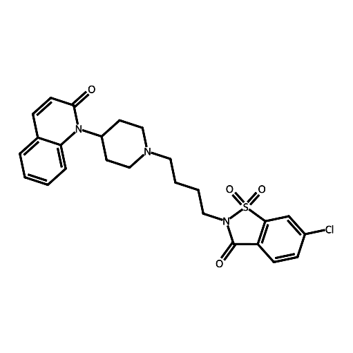 O=C1c2ccc(Cl)cc2S(=O)(=O)N1CCCCN1CCC(n2c(=O)ccc3ccccc32)CC1